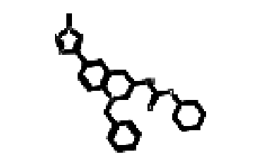 Cn1nnc(-c2ccc3c(c2)CC(NC(=O)OC2CCCCC2)CN3Cc2ccccc2)n1